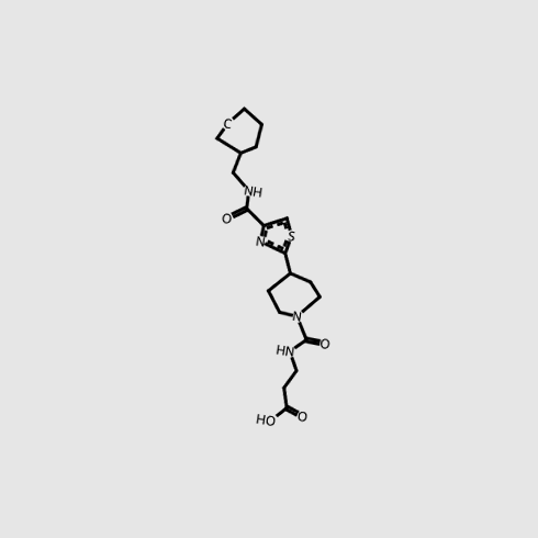 O=C(O)CCNC(=O)N1CCC(c2nc(C(=O)NCC3CCCCC3)cs2)CC1